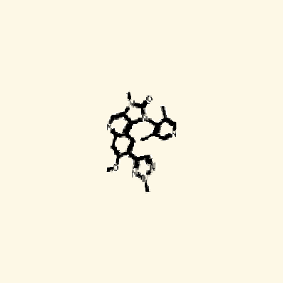 COc1cc2ncc3c(c2cc1-c1cnn(C)n1)n(-c1c(C)cncc1C)c(=O)n3C